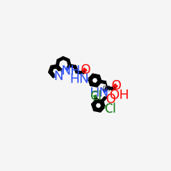 O=C(CCC1CCCc2cccnc2N1)Nc1ccc(C[C@H](NC(=O)c2c(Cl)cccc2Cl)C(=O)O)cc1